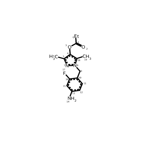 CCC(=O)Oc1c(C)nn(Cc2ccc(N)cc2F)c1C